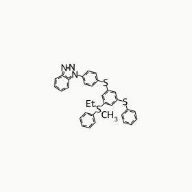 CCS(C)(c1ccccc1)c1cc(Sc2ccccc2)cc(Sc2ccc(-n3nnc4ccccc43)cc2)c1